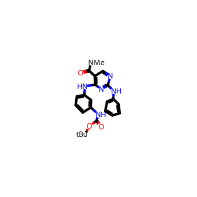 CNC(=O)c1cnc(Nc2ccccc2)nc1Nc1cccc(NC(=O)OC(C)(C)C)c1